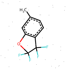 Cc1ccc2c(c1)OC(F)(F)C2(F)F